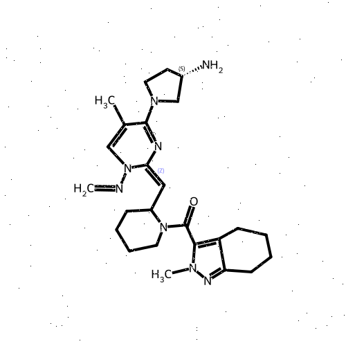 C=NN1C=C(C)C(N2CC[C@H](N)C2)=N/C1=C/C1CCCCN1C(=O)c1c2c(nn1C)CCCC2